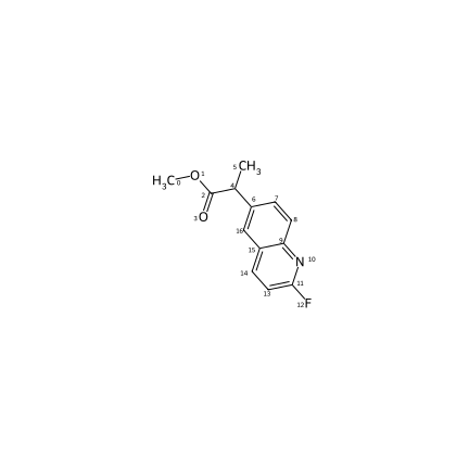 COC(=O)C(C)c1ccc2nc(F)ccc2c1